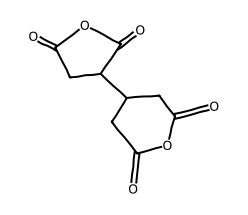 O=C1CC(C2CC(=O)OC2=O)CC(=O)O1